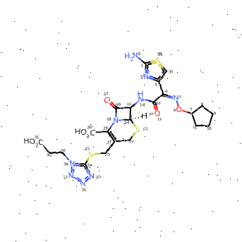 Nc1nc(/C(=N/OC2CCCC2)C(=O)NC2C(=O)N3C(C(=O)O)=C(CSc4nnnn4CCC(=O)O)CS[C@H]23)cs1